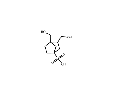 O=S(=O)(O)C12CCC(CO)(C1)C(CO)C2